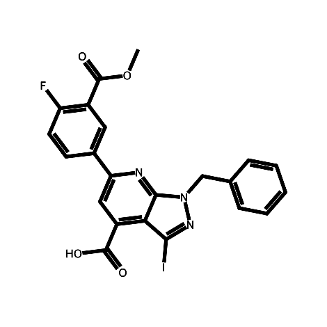 COC(=O)c1cc(-c2cc(C(=O)O)c3c(I)nn(Cc4ccccc4)c3n2)ccc1F